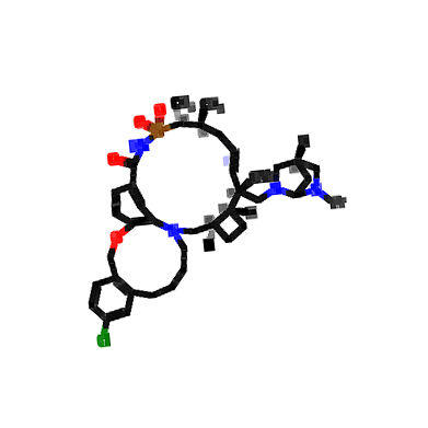 CO[C@]1(CN2C[C@H]3CC2N(C(C)C)C3)/C=C/C[C@H](C)[C@@H](C)S(=O)(=O)NC(=O)c2ccc3c(c2)N(CCCCc2cc(Cl)ccc2CO3)C[C@@H]2CC[C@H]21